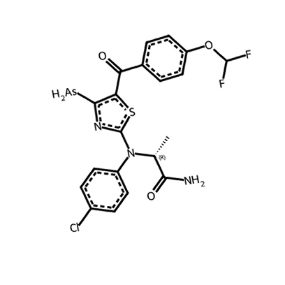 C[C@H](C(N)=O)N(c1ccc(Cl)cc1)c1nc([AsH2])c(C(=O)c2ccc(OC(F)F)cc2)s1